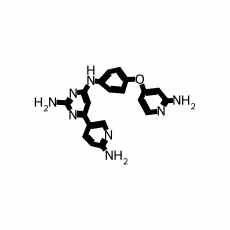 Nc1ccc(-c2cc(Nc3ccc(Oc4ccnc(N)c4)cc3)nc(N)n2)cn1